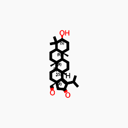 CC(C)C1=C2[C@H]3CCC4[C@@]5(C)CC[C@H](O)C(C)(C)C5CC[C@@]4(C)[C@]3(C)CC[C@@]2(C=O)CC1=O